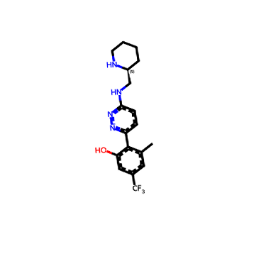 Cc1cc(C(F)(F)F)cc(O)c1-c1ccc(NC[C@@H]2CCCCN2)nn1